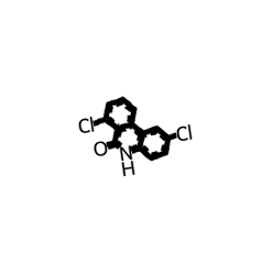 O=c1[nH]c2ccc(Cl)cc2c2cccc(Cl)c12